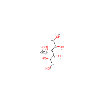 O=S(=O)(O)O.OC[C@@H](O)[C@@H](O)[C@H](O)[C@H](O)CO